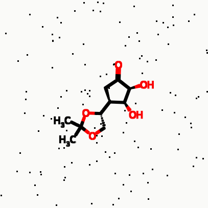 CC1(C)OC[C@@H]([C@H]2CC(=O)[C@@H](O)[C@H]2O)O1